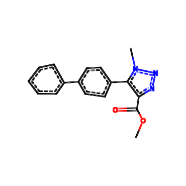 COC(=O)c1nnn(C)c1-c1ccc(-c2ccccc2)cc1